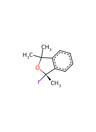 CC1(C)O[C@@](C)(I)c2ccccc21